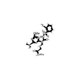 COC(=O)CSCN(C(=O)NS(=O)(=O)c1ccccc1F)c1nc(OC)nc(N(C)C)n1